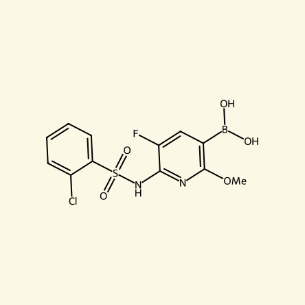 COc1nc(NS(=O)(=O)c2ccccc2Cl)c(F)cc1B(O)O